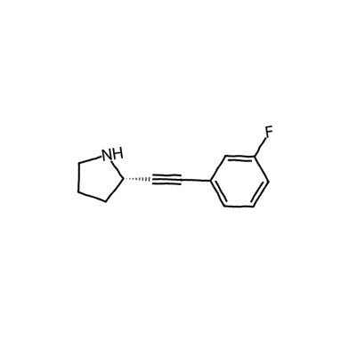 Fc1cccc(C#C[C@@H]2CCCN2)c1